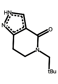 CC(C)(C)CN1CCc2n[nH]cc2C1=O